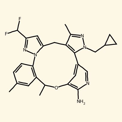 Cc1ccc2c(c1)C(C)Oc1cc(cnc1N)-c1c(c(C)nn1CC1CC1)Cc1cc(C(F)F)nn1-2